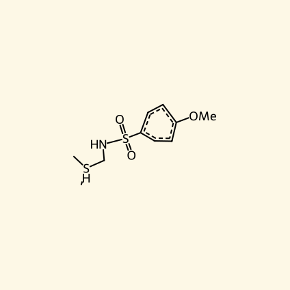 COc1ccc(S(=O)(=O)NC[SH](C)C)cc1